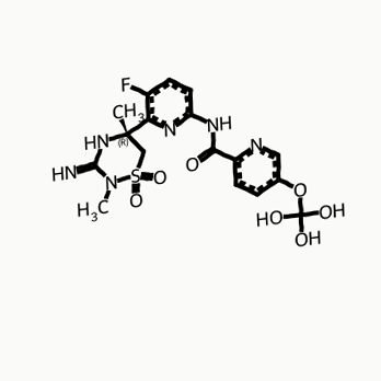 CN1C(=N)N[C@](C)(c2nc(NC(=O)c3ccc(OC(O)(O)O)cn3)ccc2F)CS1(=O)=O